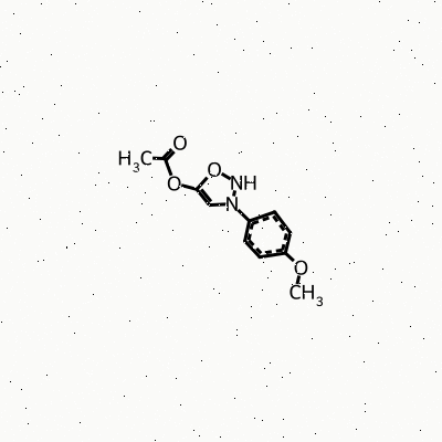 COc1ccc(N2C=C(OC(C)=O)ON2)cc1